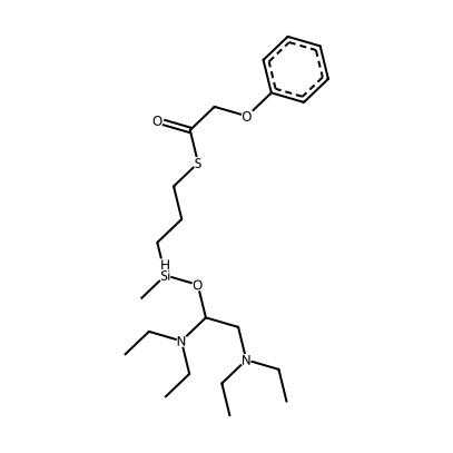 CCN(CC)CC(O[SiH](C)CCCSC(=O)COc1ccccc1)N(CC)CC